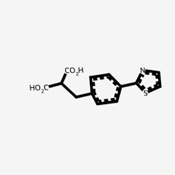 O=C(O)C(Cc1ccc(-c2nccs2)cc1)C(=O)O